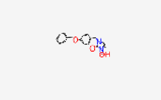 O=c1n(O)ccn1Cc1ccc(OCc2ccccc2)cc1